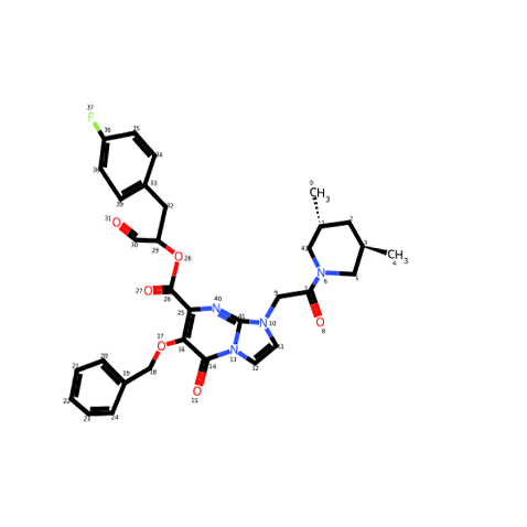 C[C@@H]1C[C@@H](C)CN(C(=O)Cn2ccn3c(=O)c(OCc4ccccc4)c(C(=O)OC(C=O)Cc4ccc(F)cc4)nc23)C1